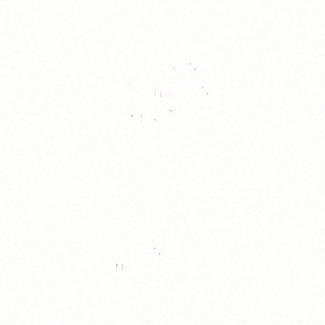 C[C@@H](CF)NC[C@@H](Cc1nc[nH]c(=O)c1O)c1ccc(C#Cc2ccc(CN3CC(C#N)C3)cc2)cc1